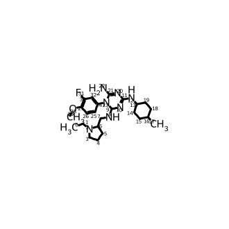 CCN1CCCC1CNC1N=C(NC2CCC(C)CC2)N=C(N)N1c1ccc(OC)c(F)c1